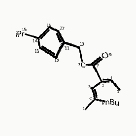 C/C=C(\C=C(\C)CCCC)C(=O)OCc1ccc(C(C)C)cc1